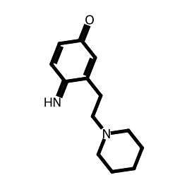 N=C1C=CC(=O)C=C1CCN1CCCCC1